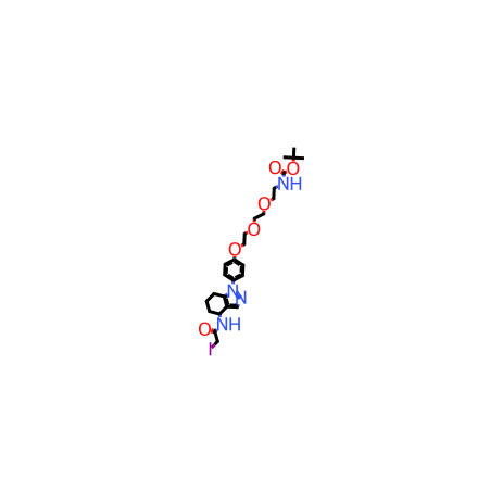 CC(C)(C)OC(=O)NCCOCCOCCOc1ccc(-n2ncc3c2CCCC3NC(=O)CI)cc1